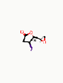 O=C1CC(I)[C@@H]([C@@H]2CO2)O1